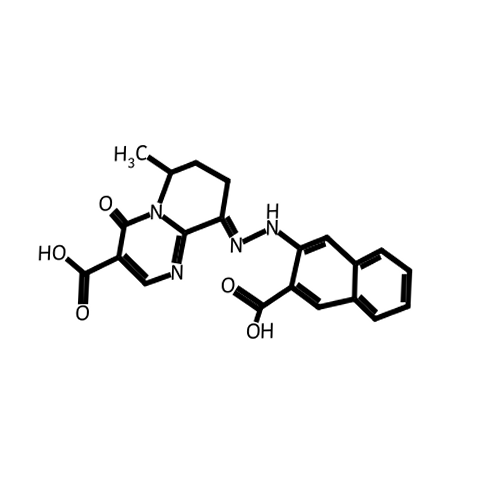 CC1CCC(=NNc2cc3ccccc3cc2C(=O)O)c2ncc(C(=O)O)c(=O)n21